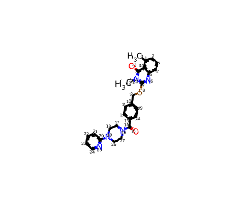 Cc1cccc2nc(SCc3ccc(C(=O)N4CCN(c5ccccn5)CC4)cc3)n(C)c(=O)c12